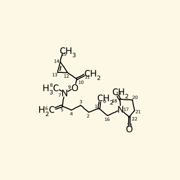 C=C(CCCC(=C)N(C)OC(=C)C1C=C1C)CN1C(=C)CCC1=O